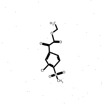 CCOC(=O)C(=O)c1ccc(S(C)(=O)=O)c(Cl)c1